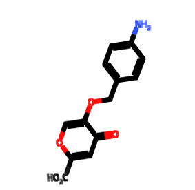 Nc1ccc(COc2coc(C(=O)O)cc2=O)cc1